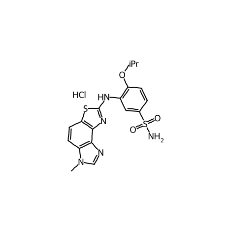 CC(C)Oc1ccc(S(N)(=O)=O)cc1Nc1nc2c(ccc3c2ncn3C)s1.Cl